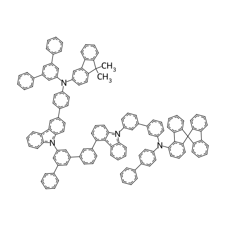 CC1(C)c2ccccc2-c2cc(N(c3ccc(-c4ccc5c(c4)c4ccccc4n5-c4cc(-c5ccccc5)cc(-c5cccc(-c6cccc7c6c6ccccc6n7-c6cccc(-c7cccc(N(c8ccc(-c9ccccc9)cc8)c8cccc9c8-c8ccccc8C98c9ccccc9-c9ccccc98)c7)c6)c5)c4)cc3)c3cc(-c4ccccc4)cc(-c4ccccc4)c3)ccc21